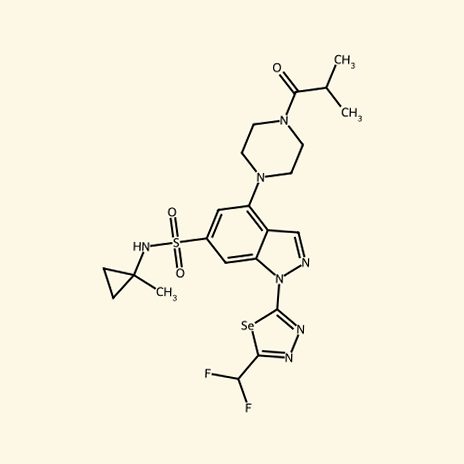 CC(C)C(=O)N1CCN(c2cc(S(=O)(=O)NC3(C)CC3)cc3c2cnn3-c2nnc(C(F)F)[se]2)CC1